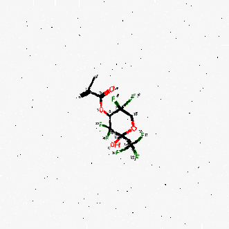 C=C(C)C(=O)OC1C(F)(F)COC(O)(C(F)(F)F)C1(F)F